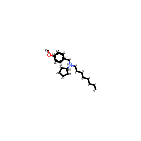 CCCCCCCCN(Cc1ccc(OC)cc1)C1CCCC1